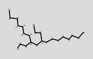 CCCCCCCCC([CH]C(CCC)CCCCCCC)CCC